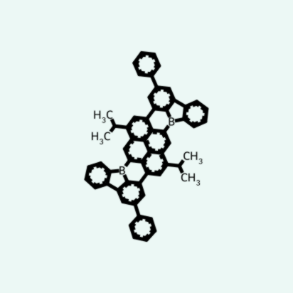 CC(C)c1cc2c3c(cc4c(C(C)C)cc5c6c(cc1c3c46)B1c3ccccc3-c3cc(-c4ccccc4)cc-5c31)B1c3ccccc3-c3cc(-c4ccccc4)cc-2c31